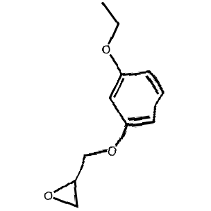 CCOc1cccc(OCC2CO2)c1